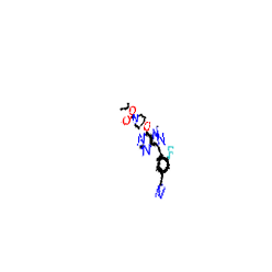 CC(C)OC(=O)N1CCC(Oc2ncnc3c(-c4ccc(C#N)cc4F)nn(C)c23)CC1